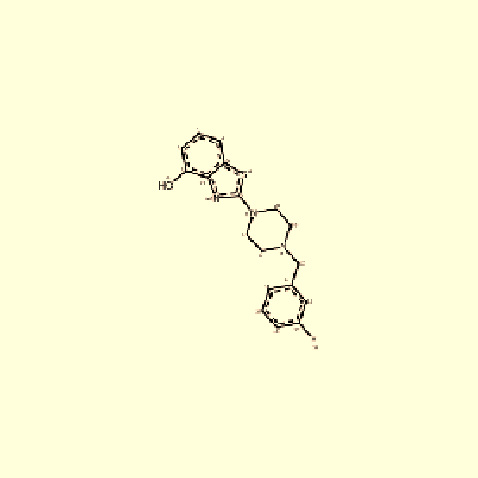 Oc1cccc2sc(N3CCN(Cc4cccc(F)c4)CC3)nc12